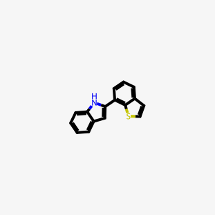 c1ccc2[nH]c(-c3cccc4ccsc34)cc2c1